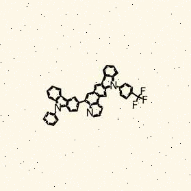 FC(F)(F)c1ccc(-n2c3ccccc3c3cc4cc(-c5ccc6c(c5)c5ccccc5n6-c5ccccc5)c5ncccc5c4cc32)cc1